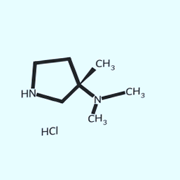 CN(C)[C@@]1(C)CCNC1.Cl